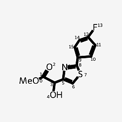 COC(=O)C(O)c1csc(-c2ccc(F)cc2)n1